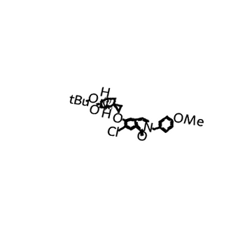 COc1ccc(Cn2ccc3cc(OC4CC45C[C@@H]4CC[C@H]5N4C(=O)OC(C)(C)C)c(Cl)cc3c2=O)cc1